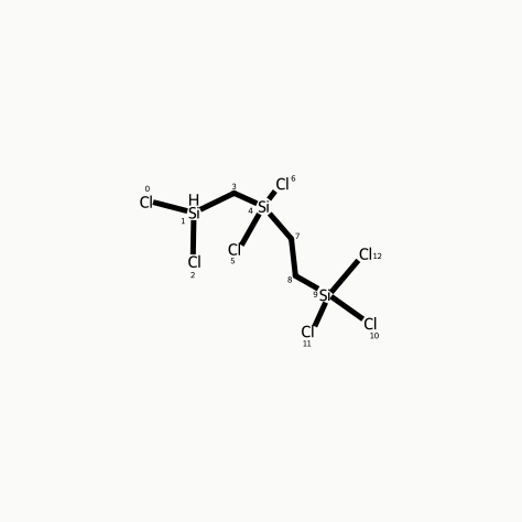 Cl[SiH](Cl)C[Si](Cl)(Cl)CC[Si](Cl)(Cl)Cl